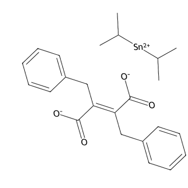 C[CH](C)[Sn+2][CH](C)C.O=C([O-])C(Cc1ccccc1)=C(Cc1ccccc1)C(=O)[O-]